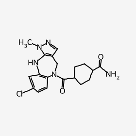 Cn1ncc2c1Nc1cc(Cl)ccc1N(C(=O)C1CCC(C(N)=O)CC1)C2